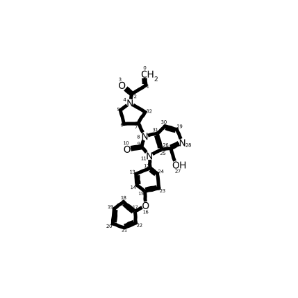 C=CC(=O)N1CCC(n2c(=O)n(-c3ccc(Oc4ccccc4)cc3)c3c(O)nccc32)C1